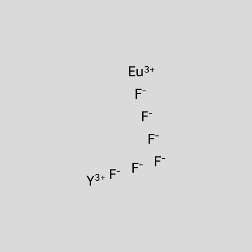 [Eu+3].[F-].[F-].[F-].[F-].[F-].[F-].[Y+3]